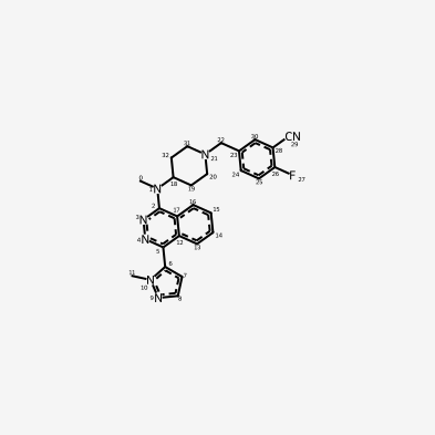 CN(c1nnc(-c2ccnn2C)c2ccccc12)C1CCN(Cc2ccc(F)c(C#N)c2)CC1